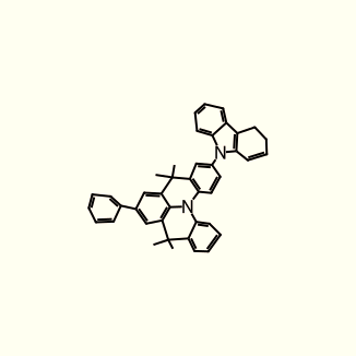 CC1(C)c2ccccc2N2c3ccc(-n4c5c(c6ccccc64)CCC=C5)cc3C(C)(C)c3cc(-c4ccccc4)cc1c32